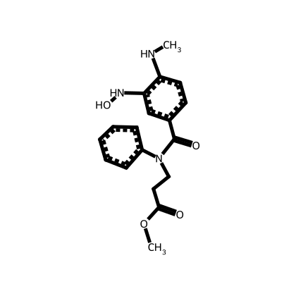 CNc1ccc(C(=O)N(CCC(=O)OC)c2ccccc2)cc1NO